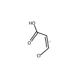 O=C(O)/C=[C]\Cl